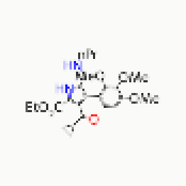 CCCNCc1[nH]c(C(=O)OCC)c(C(=O)C2CC2)c1-c1ccc(OC)c(OC)c1OC